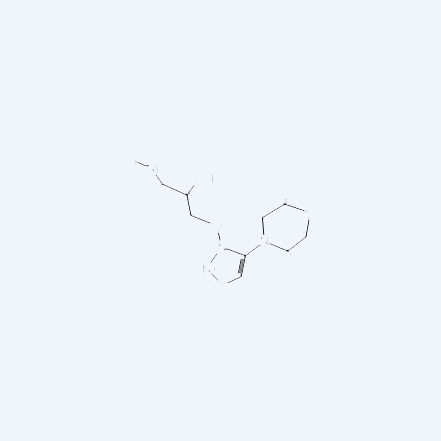 CC(C)(C)NCC(O)CON1NSC=C1N1CCOCC1